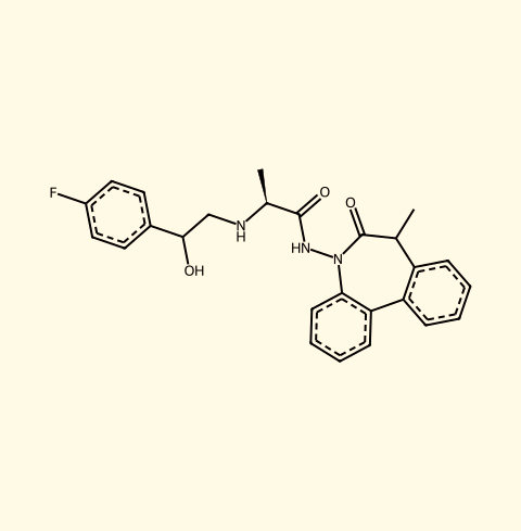 CC1C(=O)N(NC(=O)[C@H](C)NCC(O)c2ccc(F)cc2)c2ccccc2-c2ccccc21